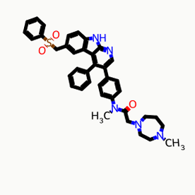 CN1CCCN(CC(=O)N(C)c2ccc(-c3cnc4[nH]c5ccc(CS(=O)(=O)c6ccccc6)cc5c4c3-c3ccccc3)cc2)CC1